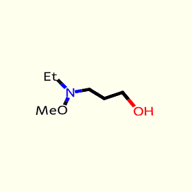 CCN(CCCO)OC